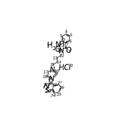 Cl.Nc1ccccc1C(=O)[NH+]([O-])CCCCN1CCN(c2nsc3ccccc23)CC1